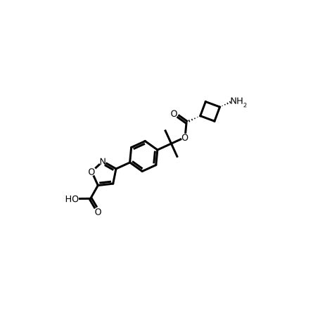 CC(C)(OC(=O)[C@H]1C[C@@H](N)C1)c1ccc(-c2cc(C(=O)O)on2)cc1